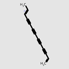 C=CC#CC#CC#CC#C/C=C/C